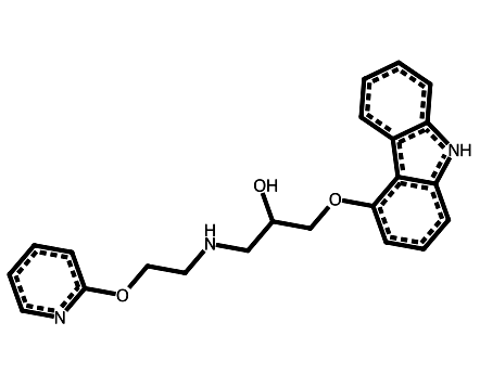 OC(CNCCOc1ccccn1)COc1cccc2[nH]c3ccccc3c12